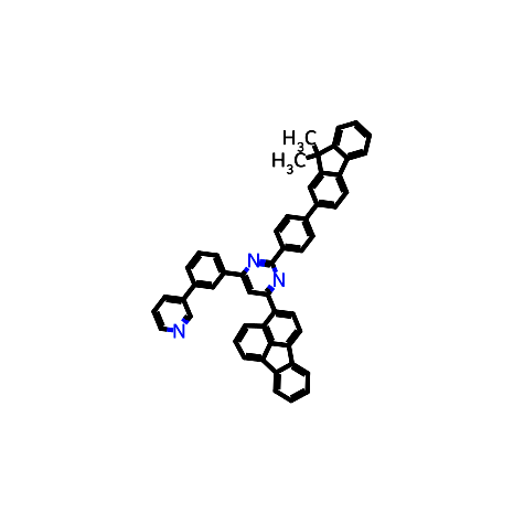 CC1(C)c2ccccc2-c2ccc(-c3ccc(-c4nc(-c5cccc(-c6cccnc6)c5)cc(-c5ccc6c7c(cccc57)-c5ccccc5-6)n4)cc3)cc21